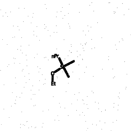 [CH2]CO[Si](C)(C)CCC